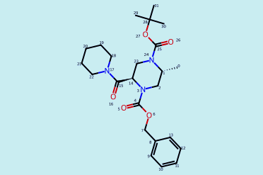 C[C@@H]1CN(C(=O)OCc2ccccc2)[C@@H](C(=O)N2CCCCC2)CN1C(=O)OC(C)(C)C